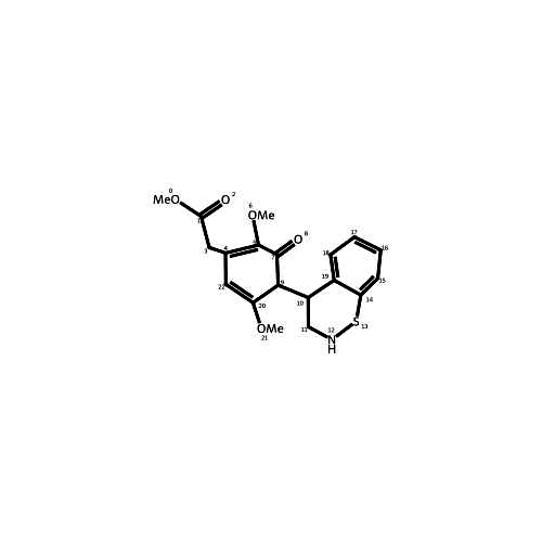 COC(=O)CC1=C(OC)C(=O)C(C2CNSc3ccccc32)C(OC)=C1